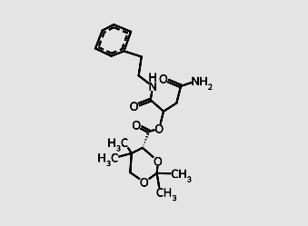 CC1(C)OCC(C)(C)[C@H](C(=O)OC(CC(N)=O)C(=O)NCCc2ccccc2)O1